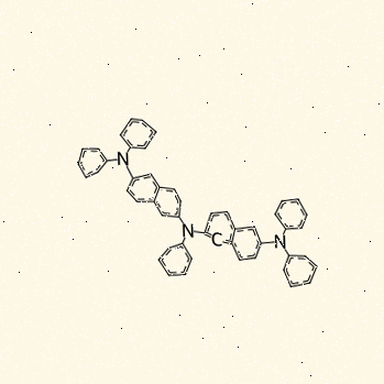 c1ccc(N(c2ccccc2)c2ccc3cc(N(c4ccccc4)c4ccc5cc(N(c6ccccc6)c6ccccc6)ccc5c4)ccc3c2)cc1